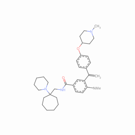 C=C(c1ccc(OC2CCN(C)CC2)cc1)c1cc(C(=O)NCC2(N3CCCCC3)CCCCCC2)ccc1NC